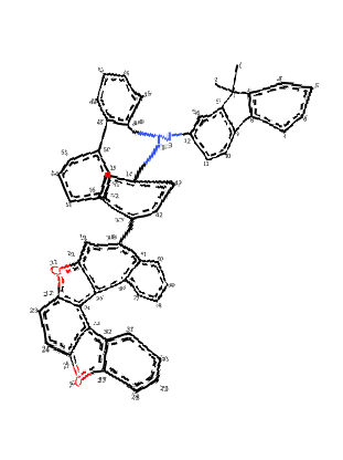 CC1(C)c2ccccc2-c2ccc(N(c3ccc(-c4cc5oc6ccc7oc8ccccc8c7c6c5c5ccccc45)cc3)c3ccccc3-c3ccccc3)cc21